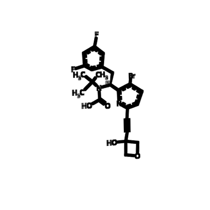 CC(C)(C)N(C(=O)O)[C@@H](Cc1cc(F)cc(F)c1)c1nc(C#CC2(O)COC2)ccc1Br